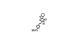 CSc1ccc(C=Cc2nc3sc4c(c3c(=O)[nH]2)CCCC4)cc1